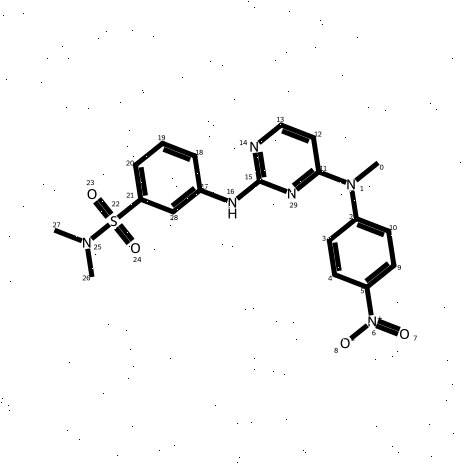 CN(c1ccc([N+](=O)[O-])cc1)c1ccnc(Nc2cccc(S(=O)(=O)N(C)C)c2)n1